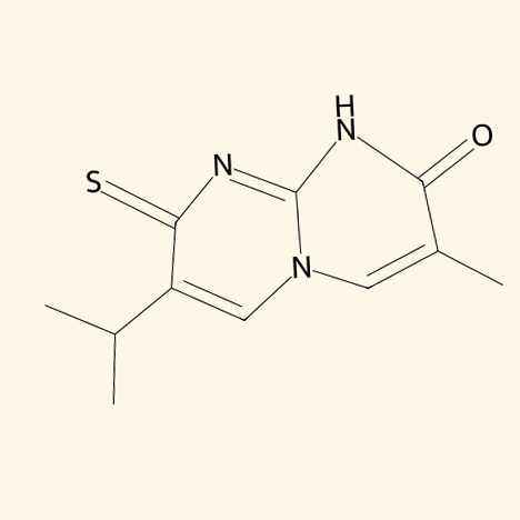 Cc1cn2cc(C(C)C)c(=S)nc2[nH]c1=O